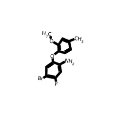 COc1cc(C)ccc1Oc1cc(Br)c(F)cc1N